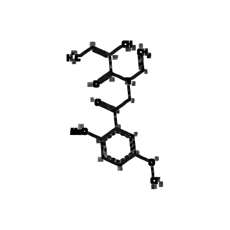 C=CN(CC(=O)c1cc(OC(F)(F)F)ccc1OC)C(=O)/C(C)=C\C